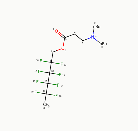 CCCCN(CCCC)CCC(=O)OCC(F)(F)C(F)(F)C(F)(F)C(F)(F)C(F)(F)F